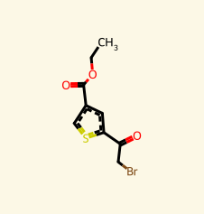 CCOC(=O)c1csc(C(=O)CBr)c1